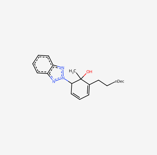 CCCCCCCCCCCCC1=CC=CC(n2nc3ccccc3n2)C1(C)O